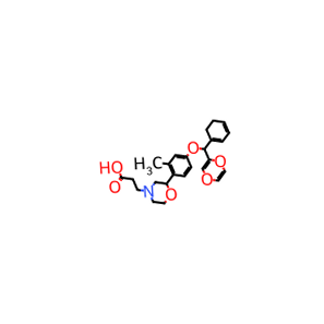 Cc1cc(OC(C2=CC=CCC2)C2=COC=CO2)ccc1C1CN(CCC(=O)O)CCO1